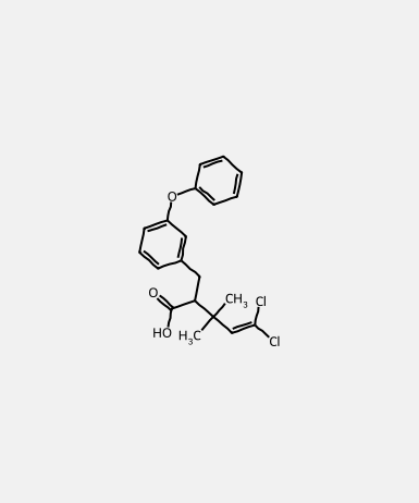 CC(C)(C=C(Cl)Cl)C(Cc1cccc(Oc2ccccc2)c1)C(=O)O